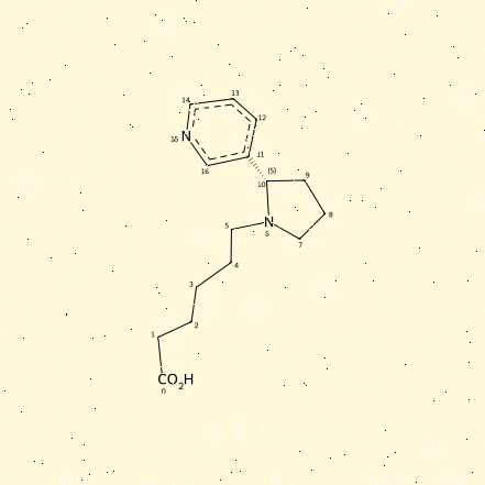 O=C(O)CCCCCN1CCC[C@H]1c1cccnc1